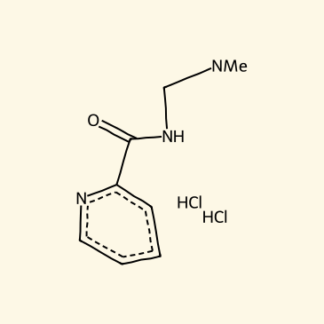 CNCNC(=O)c1ccccn1.Cl.Cl